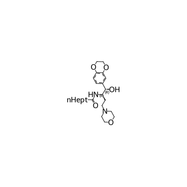 CCCCCCCC(=O)N[C@H](CCN1CCOCC1)[C@H](O)c1ccc2c(c1)OCCO2